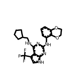 FC(F)(F)c1c[nH]c2nc(Nc3cc[c]c4c3OCCO4)nc(NCC3CCCC3)c12